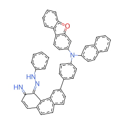 N=C1C=Cc2ccc3ccc(-c4ccc(N(c5ccc6ccccc6c5)c5ccc6c(c5)oc5ccccc56)cc4)cc3c2/C1=N/Nc1ccccc1